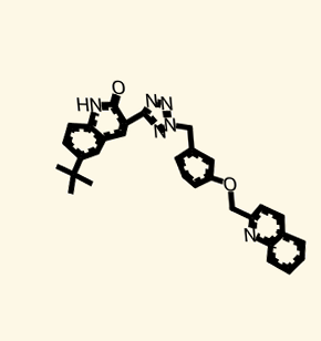 CC(C)(C)c1ccc2[nH]c(=O)c(-c3nnn(Cc4cccc(OCc5ccc6ccccc6n5)c4)n3)cc2c1